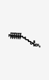 CSC(=S)OCC=CCSCCC(F)(F)C(F)(F)C(F)(F)C(F)(F)C(F)(F)C(F)(F)F